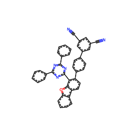 N#Cc1cc(C#N)cc(-c2ccc(-c3ccc4c(oc5ccccc54)c3-c3nc(-c4ccccc4)nc(-c4ccccc4)n3)cc2)c1